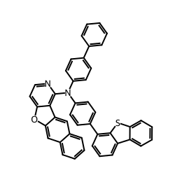 c1ccc(-c2ccc(N(c3ccc(-c4cccc5c4sc4ccccc45)cc3)c3nccc4oc5cc6ccccc6cc5c34)cc2)cc1